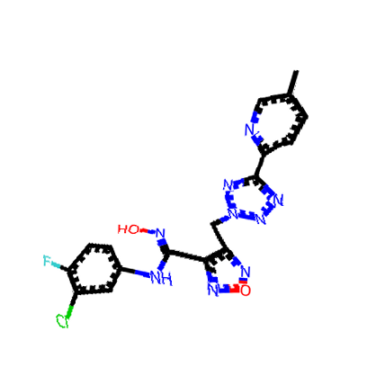 Cc1ccc(-c2nnn(Cc3nonc3C(=NO)Nc3ccc(F)c(Cl)c3)n2)nc1